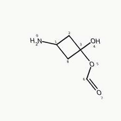 NC1CC(O)(OC=O)C1